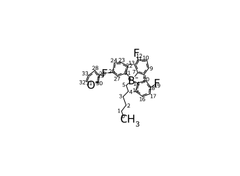 CCCCCC[B-](c1cccc(F)c1)(c1cccc(F)c1)c1cccc(F)c1.c1cc[o+]cc1